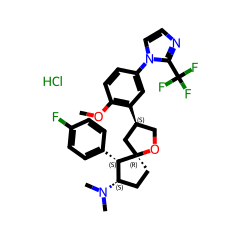 COc1ccc(-n2ccnc2C(F)(F)F)cc1[C@H]1CO[C@]2(CC[C@H](N(C)C)[C@@H]2c2ccc(F)cc2)C1.Cl